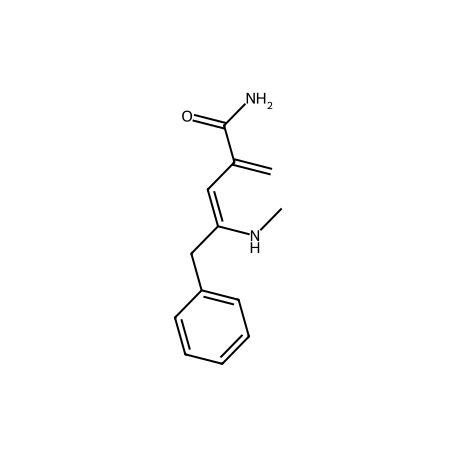 C=C(/C=C(/Cc1ccccc1)NC)C(N)=O